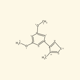 COc1cc(OC)cc(-c2cs[c]c2C)c1